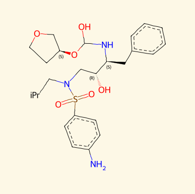 CC(C)CN(C[C@@H](O)[C@H](Cc1ccccc1)NC(O)O[C@H]1CCOC1)S(=O)(=O)c1ccc(N)cc1